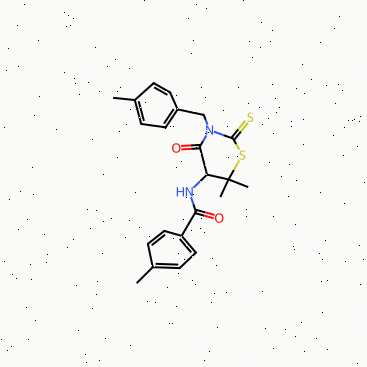 Cc1ccc(CN2C(=O)C(NC(=O)c3ccc(C)cc3)C(C)(C)SC2=S)cc1